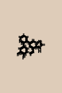 C=CC1=CC(c2cccnc2-c2ccc(F)c(C)c2)=CN2N=CNC12